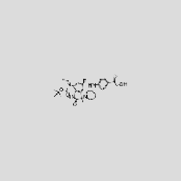 CCN(C(=O)OC(C)(C)C)c1cc(F)cc2c1NC(=O)C2(C)N1CCC[C@@H](Nc2ccc(C(=O)CO)cc2)C1